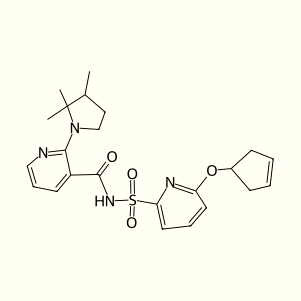 CC1CCN(c2ncccc2C(=O)NS(=O)(=O)c2cccc(OC3CC=CC3)n2)C1(C)C